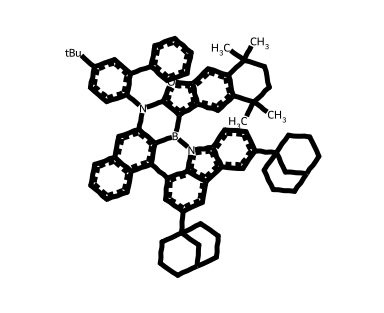 CC(C)(C)c1ccc(N2c3cc4ccccc4c4c3B(c3c2oc2cc5c(cc32)C(C)(C)CCC5(C)C)n2c3ccc(C56CCCC(CCC5)C6)cc3c3cc(C56CCCC(CCC5)C6)cc-4c32)c(-c2ccccc2)c1